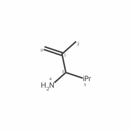 C=C(C)C(N)C(C)C